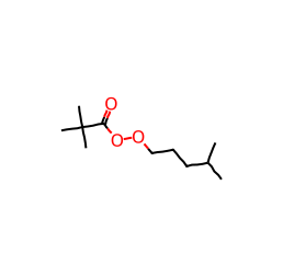 CC(C)CCCOOC(=O)C(C)(C)C